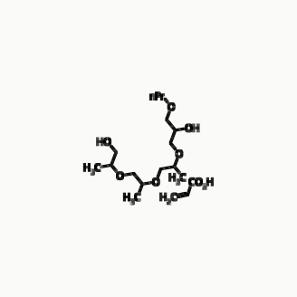 C=CC(=O)O.CCCOCC(O)COC(C)COC(C)COC(C)CO